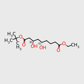 CCOC(=O)CCC[C@H](O)C[C@@H](O)CC(=O)OC(C)(C)C